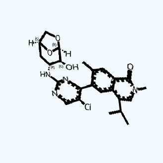 Cc1cc2c(=O)n(C)cc(C(C)C)c2cc1-c1nc(N[C@@H]2C[C@H]3CO[C@H](O3)[C@H]2O)ncc1Cl